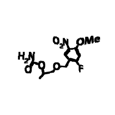 COc1cc(F)c(COCC(C)OC(N)=O)cc1[N+](=O)[O-]